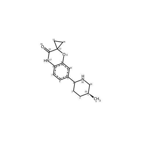 C[C@H]1CCC(c2ccc3c(c2)OC2(CC2)C(=O)N3)NC1